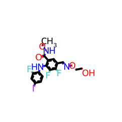 CONC(=O)c1cc(/C=N/OCCO)c(F)c(F)c1Nc1ccc(I)cc1F